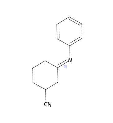 N#CC1CCC/C(=N\c2ccccc2)C1